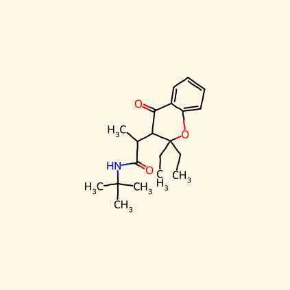 CCC1(CC)Oc2ccccc2C(=O)C1C(C)C(=O)NC(C)(C)C